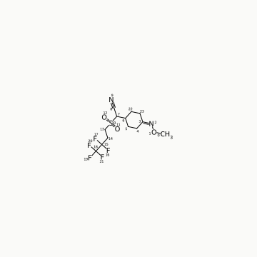 CON=C1CCC(C(C#N)S(=O)(=O)CCC(F)(F)C(F)(F)F)CC1